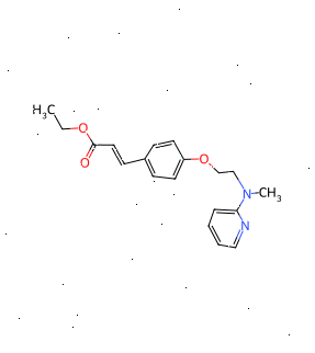 CCOC(=O)/C=C/c1ccc(OCCN(C)c2ccccn2)cc1